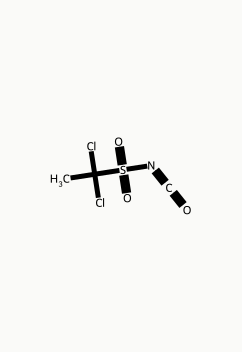 CC(Cl)(Cl)S(=O)(=O)N=C=O